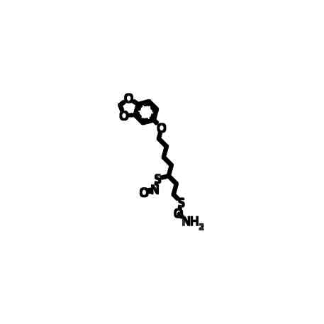 NOSCCC(CCCCOc1ccc2c(c1)OCO2)SN=O